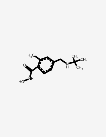 Cc1cc(CNC(C)(C)C)ccc1C(=O)NO